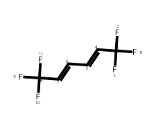 FC(F)(F)C=CC=CC(F)(F)F